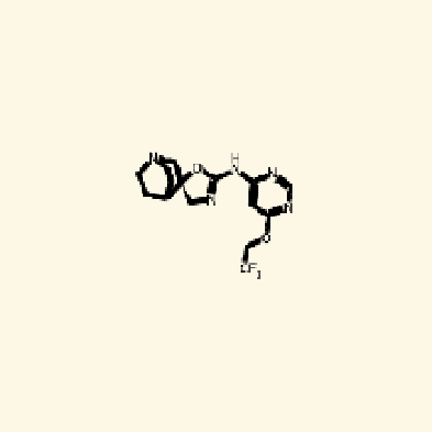 FC(F)(F)COc1cc(NC2=NC[C@@]3(CN4CCC3CC4)O2)ncn1